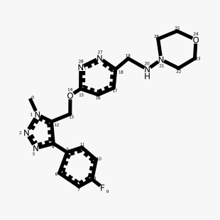 Cn1nnc(-c2ccc(F)cc2)c1COc1ccc(CNN2CCOCC2)nn1